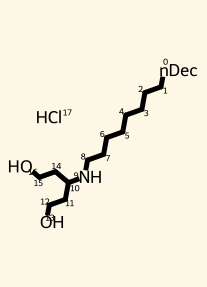 CCCCCCCCCCCCCCCCCCNC(CCO)CCO.Cl